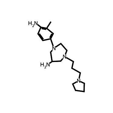 Cc1cc(N2CCN(CCCN3CCCC3)CC(N)C2)ccc1N